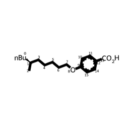 CCCC[C@H](C)CCCCCOc1ccc(C(=O)O)cc1